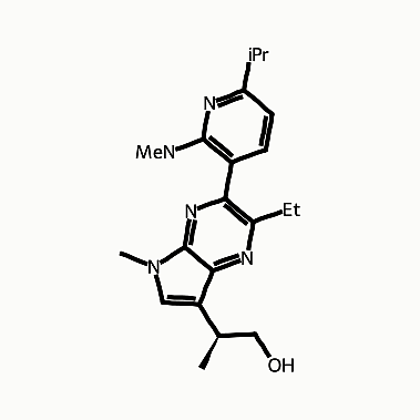 CCc1nc2c([C@H](C)CO)cn(C)c2nc1-c1ccc(C(C)C)nc1NC